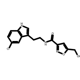 O=C(NCCc1c[nH]c2ccc(Cl)cc12)c1cc(CO)on1